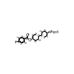 CCCCC[C@H]1CC[C@H]([C@H]2CC[C@H](OC(=O)c3ccc(F)cc3)CC2)CC1